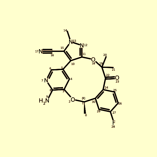 C[C@H]1Oc2cc(cnc2N)-c2c(nn(C)c2C#N)OC(C)(C)C(=O)c2ccc(F)cc21